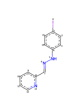 Ic1ccc(NN=Cc2ccccn2)cc1